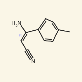 Cc1ccc(/C(N)=C\C#N)cc1